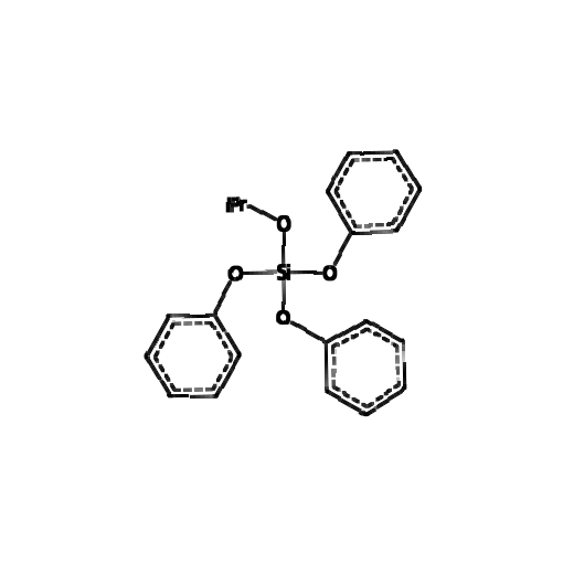 CC(C)O[Si](Oc1ccccc1)(Oc1ccccc1)Oc1ccccc1